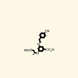 COC[C@H](C)Oc1cc(OCCc2ccc(C#N)cc2)cc(C(=O)O)c1